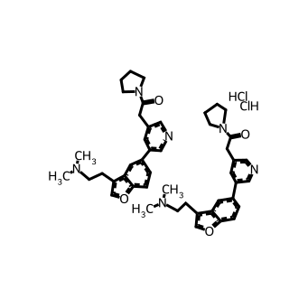 CN(C)CCc1coc2ccc(-c3cncc(CC(=O)N4CCCC4)c3)cc12.CN(C)CCc1coc2ccc(-c3cncc(CC(=O)N4CCCC4)c3)cc12.Cl.Cl